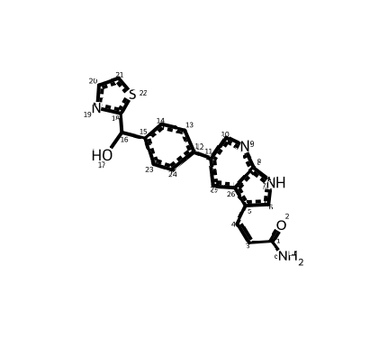 NC(=O)/C=C\c1c[nH]c2ncc(-c3ccc(C(O)c4nccs4)cc3)cc12